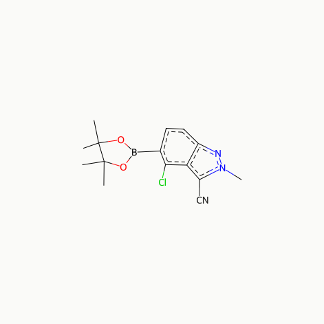 Cn1nc2ccc(B3OC(C)(C)C(C)(C)O3)c(Cl)c2c1C#N